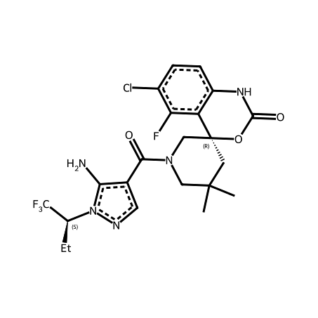 CC[C@H](n1ncc(C(=O)N2CC(C)(C)C[C@@]3(C2)OC(=O)Nc2ccc(Cl)c(F)c23)c1N)C(F)(F)F